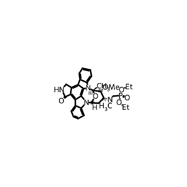 CCOP(=O)(CN(C)[C@@H]1C[C@H]2O[C@@](C)([C@@H]1OC)n1c3ccccc3c3c4c(c5c6ccccc6n2c5c31)C(=O)NC4)OCC